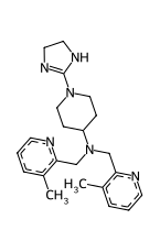 Cc1cccnc1CN(Cc1ncccc1C)C1CCN(C2=NCCN2)CC1